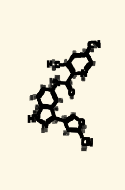 Cc1cc(C#N)cnc1C(=O)Nc1ccc2[nH]nc(-c3coc(C#N)c3)c2c1